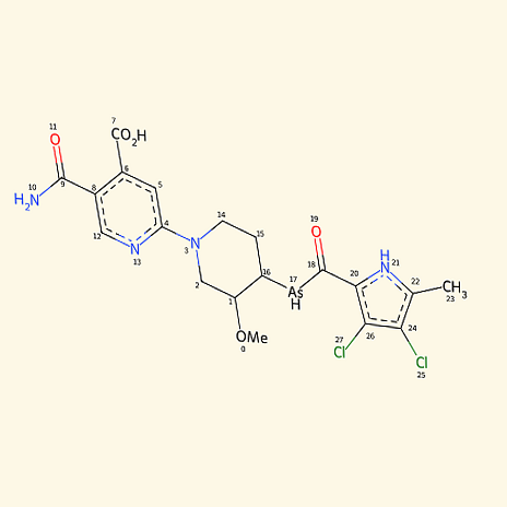 COC1CN(c2cc(C(=O)O)c(C(N)=O)cn2)CCC1[AsH]C(=O)c1[nH]c(C)c(Cl)c1Cl